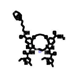 CCn1nc(C)cc1C(=O)Nc1nc2cc(C(N)=O)cc3c2n1C/C=C/Cn1c(NC(=O)c2cc(C)nn2CC)nc2cc(C(=O)NCCCCN4CC5CCC(C4)O5)cc(c21)OCCCO3